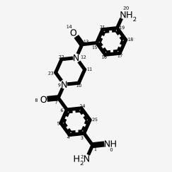 N=C(N)c1ccc(C(=O)N2CCN(C(=O)c3cccc(N)c3)CC2)cc1